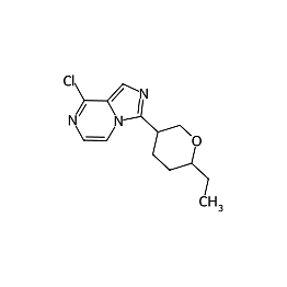 CCC1CCC(c2ncc3c(Cl)nccn23)CO1